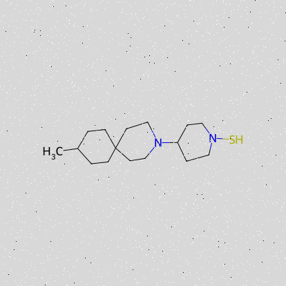 CC1CCC2(CC1)CCN(C1CCN(S)CC1)CC2